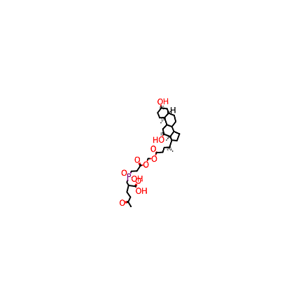 CC(=O)CCC(CP(=O)(O)CCC(=O)OCOC(=O)CC[C@@H](C)C1CCC2C3CC[C@@H]4C[C@H](O)CC[C@]4(C)C3C[C@H](O)[C@@]21C)C(=O)O